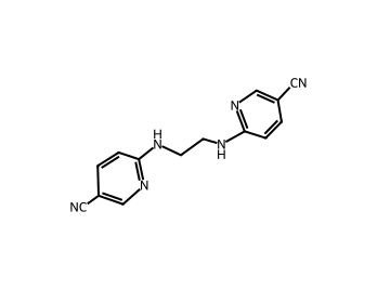 N#Cc1ccc(NCCNc2ccc(C#N)cn2)nc1